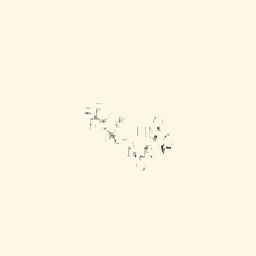 O=C1CO[C@H]2CCN(C(=O)N3CCC(Oc4cc(F)cc(C(F)(F)F)c4)CC3)CC2N1